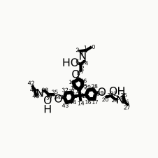 CC1CN1CC(O)COc1ccc(C(C)(c2ccc(OCC(O)CN3CC3C)cc2)c2ccc(OCC(O)CN3CC3C)cc2)cc1